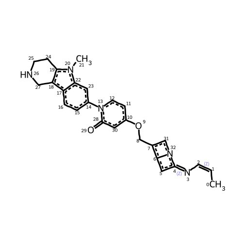 C/C=C\N=c1\cc2c(COc3ccn(-c4ccc5c6c(n(C)c5c4)CCNC6)c(=O)c3)cn1-2